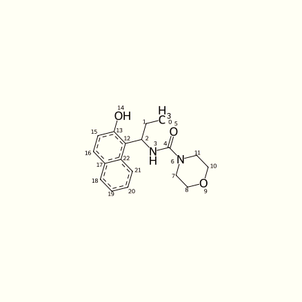 CCC(NC(=O)N1CCOCC1)c1c(O)ccc2ccccc12